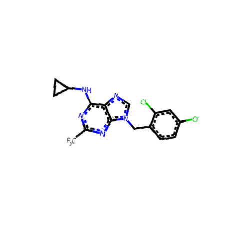 FC(F)(F)c1nc(NC2CC2)c2ncn(Cc3ccc(Cl)cc3Cl)c2n1